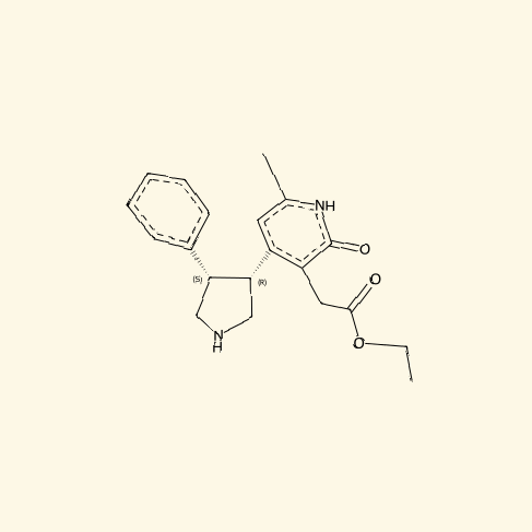 CCOC(=O)Cc1c([C@@H]2CNC[C@@H]2c2ccccc2)cc(C)[nH]c1=O